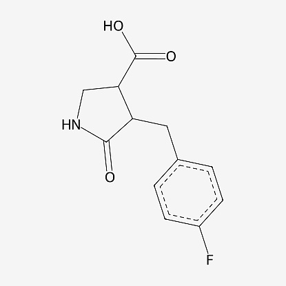 O=C(O)C1CNC(=O)C1Cc1ccc(F)cc1